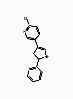 Clc1ccc(C2=NNC(c3ccccc3)C2)cn1